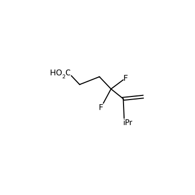 C=C(C(C)C)C(F)(F)CCC(=O)O